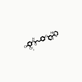 O=C(CCc1ccc(Oc2ccnc(C3=NCCCN3)c2)cc1)Nc1ccc(Cl)c(C(F)(F)F)c1